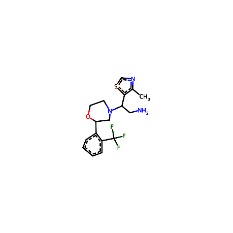 Cc1ncsc1C(CN)N1CCOC(c2ccccc2C(F)(F)F)C1